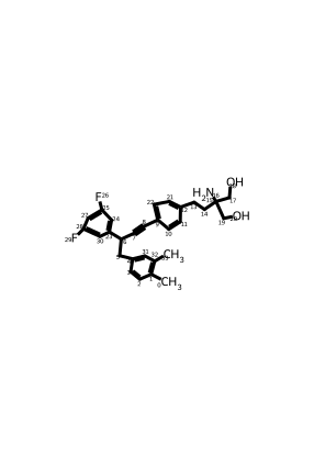 Cc1ccc(CC(C#Cc2ccc(CCC(N)(CO)CO)cc2)c2cc(F)cc(F)c2)cc1C